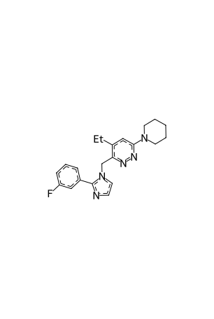 CCc1cc(N2CCCCC2)nnc1Cn1ccnc1-c1cccc(F)c1